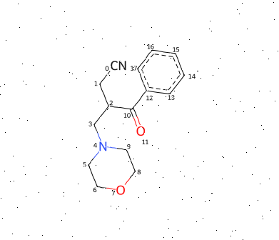 N#CCC(CN1CCOCC1)C(=O)c1ccccc1